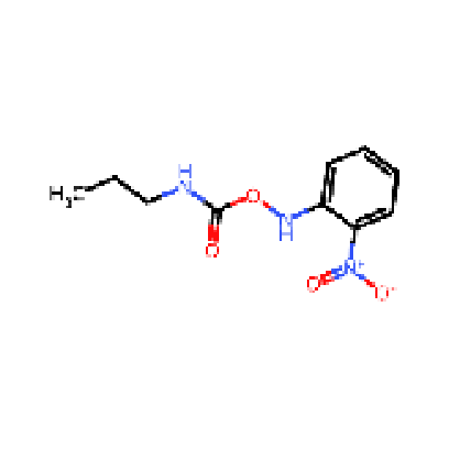 CCCNC(=O)ONc1ccccc1[N+](=O)[O-]